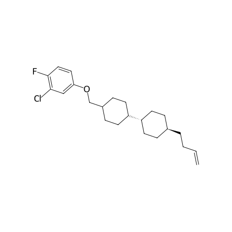 C=CCC[C@H]1CC[C@H](C2CCC(COc3ccc(F)c(Cl)c3)CC2)CC1